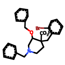 O=C(O)C1(Cc2ccccc2Br)CCN(Cc2ccccc2)CC1OCc1ccccc1